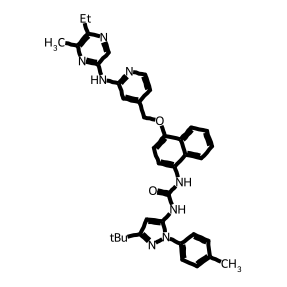 CCc1ncc(Nc2cc(COc3ccc(NC(=O)Nc4cc(C(C)(C)C)nn4-c4ccc(C)cc4)c4ccccc34)ccn2)nc1C